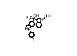 O=CCN1C=C(C(O)(c2ccc3c(cnn3-c3ccc(F)cc3)c2)C(F)(F)F)C2C=CC=CC21